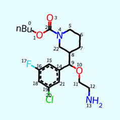 CCCCOC(=O)N1CCCC(C(OCCN)c2cc(F)cc(Cl)c2)C1